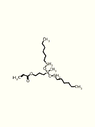 C=CC(=O)OCCC[Si](C)(O[SiH2]CCCCCC)O[SiH2]CCCCCC